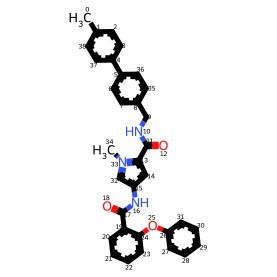 Cc1ccc(-c2ccc(CNC(=O)c3cc(NC(=O)c4ccccc4Oc4ccccc4)cn3C)cc2)cc1